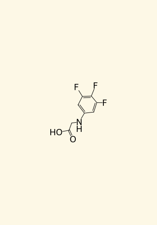 O=C(O)CNc1cc(F)c(F)c(F)c1